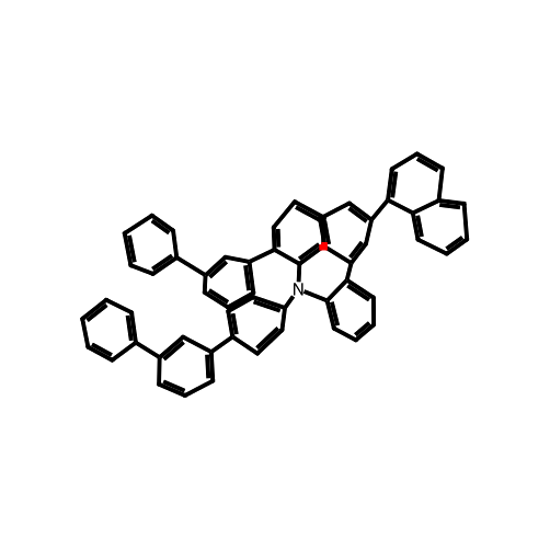 c1ccc(-c2cccc(-c3ccc(N(c4ccccc4-c4cccc(-c5ccccc5)c4)c4ccccc4-c4cccc(-c5cccc6ccccc56)c4)cc3)c2)cc1